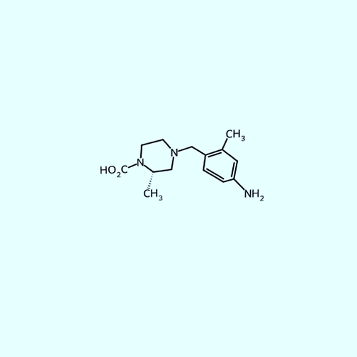 Cc1cc(N)ccc1CN1CCN(C(=O)O)[C@@H](C)C1